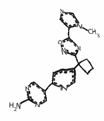 Cn1cncc1-c1nc(C2(c3ccc(-c4cnc(N)nc4)nc3)CCC2)no1